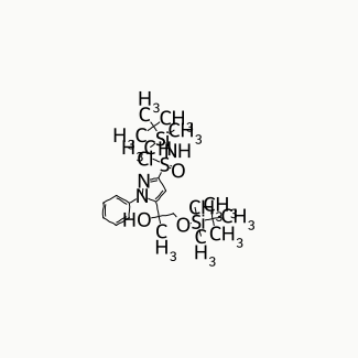 CC(O)(CO[Si](C)(C)C(C)(C)C)c1cc([SH](=O)(Cl)N[Si](C)(C)C(C)(C)C)nn1-c1ccccc1